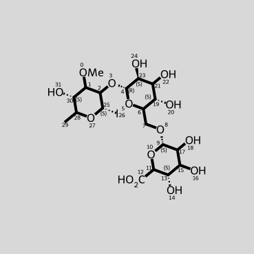 COC1C(O[C@H]2OC(CO[C@H]3OC(C(=O)O)[C@@H](O)C(O)C3O)[C@@H](O)C(O)[C@@H]2O)[C@H](I)OC(C)[C@@H]1O